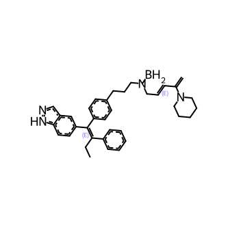 BN(C/C=C/C(=C)N1CCCCC1)CCCc1ccc(/C(=C(/CC)c2ccccc2)c2ccc3[nH]ncc3c2)cc1